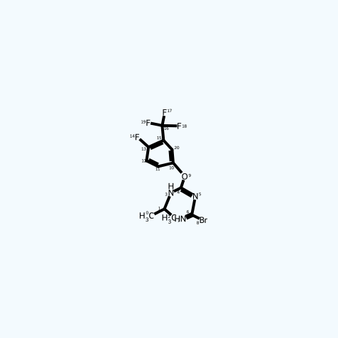 CC(C)N/C(=N\C(=N)Br)Oc1ccc(F)c(C(F)(F)F)c1